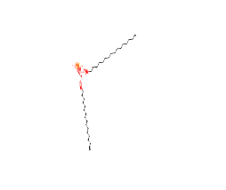 CCCCCCCCCCCCCCCCCC(=O)OC[C@H](COP(C)(=O)O)OC(=O)CCCCCCCCCCCCCCCCC